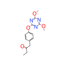 CCC(=O)Cc1ccc(Oc2nc(OC)nc(OC)n2)cc1